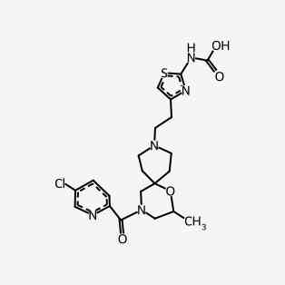 CC1CN(C(=O)c2ccc(Cl)cn2)CC2(CCN(CCc3csc(NC(=O)O)n3)CC2)O1